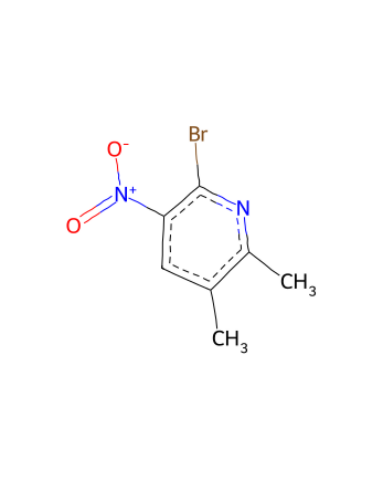 Cc1cc([N+](=O)[O-])c(Br)nc1C